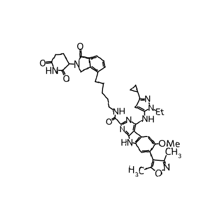 CCn1nc(C2CC2)cc1Nc1nc(C(=O)NCCCCCc2cccc3c2CN(C2CCC(=O)NC2=O)C3=O)nc2[nH]c3cc(-c4c(C)noc4C)c(OC)cc3c12